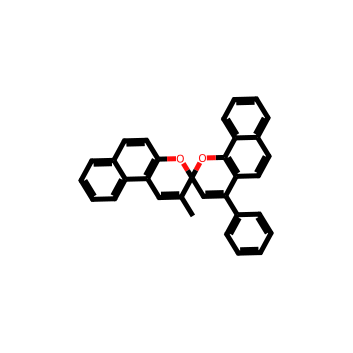 CC1=Cc2c(ccc3ccccc23)OC12C=C(c1ccccc1)c1ccc3ccccc3c1O2